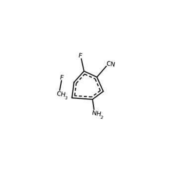 CF.N#Cc1cc(N)ccc1F